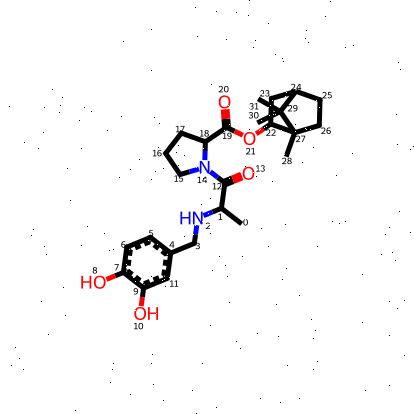 CC(NCc1ccc(O)c(O)c1)C(=O)N1CCCC1C(=O)OC1CC2CCC1(C)C2(C)C